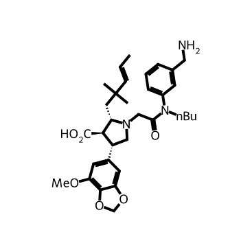 C/C=C/C(C)(C)C[C@H]1[C@H](C(=O)O)[C@@H](c2cc(OC)c3c(c2)OCO3)CN1CC(=O)N(CCCC)c1cccc(CN)c1